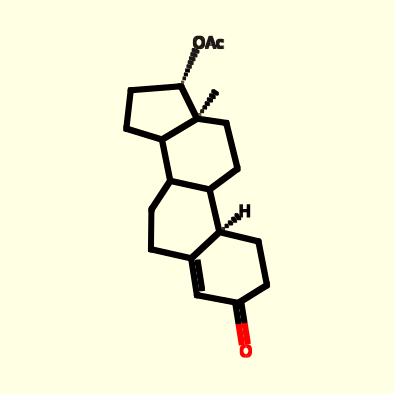 CC(=O)O[C@H]1CCC2C3CCC4=CC(=O)CC[C@@H]4C3CC[C@@]21C